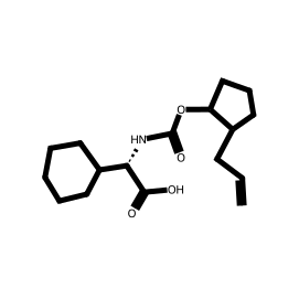 C=CCC1CCCC1OC(=O)N[C@H](C(=O)O)C1CCCCC1